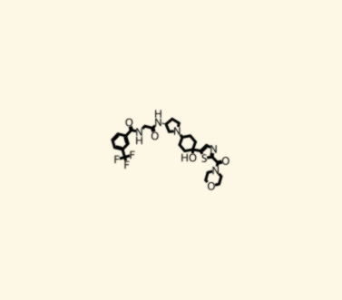 O=C(CNC(=O)c1cccc(C(F)(F)F)c1)N[C@@H]1CCN(C2CCC(O)(c3cnc(C(=O)N4CCOCC4)s3)CC2)C1